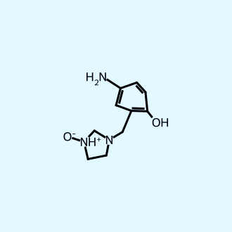 Nc1ccc(O)c(CN2CC[NH+]([O-])C2)c1